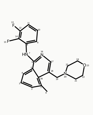 Cc1cccc2c(Nc3cccc(F)c3F)ncc(CN3CCOCC3)c12